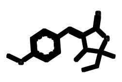 CCC1(C)OC(=O)C(=Cc2ccc(OC)cc2)C1C